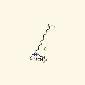 CCCCCCCCCCC[N+](CC)(CC)CC.[Cl-]